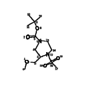 COCC1CN(C(=O)OC(C)(C)C)CCN1S(C)(=O)=O